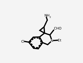 CCN1Cc2ccc(Cl)cc2C2(CC2CN)C1C=O